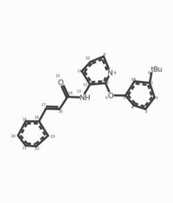 CC(C)(C)c1cccc(Oc2ncccc2NC(=O)/C=C/c2ccccc2)c1